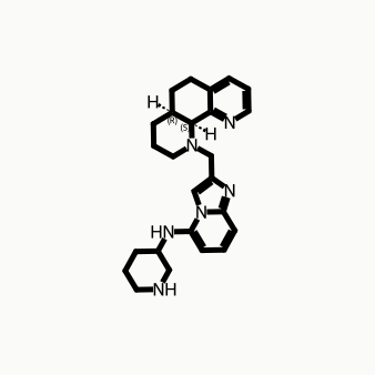 c1cnc2c(c1)CC[C@@H]1CCCN(Cc3cn4c(NC5CCCNC5)cccc4n3)[C@H]21